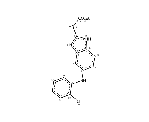 CCOC(=O)Nc1nc2cc(Nc3ccccc3Cl)cnc2[nH]1